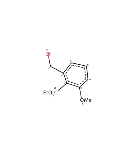 CCOC(=O)c1c(CBr)cccc1OC